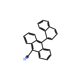 N#Cc1c2ccccc2c(-c2cccc3ccccc23)c2ccccc12